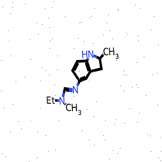 CCN(C)C=Nc1ccc2c(c1)CC(C)N2